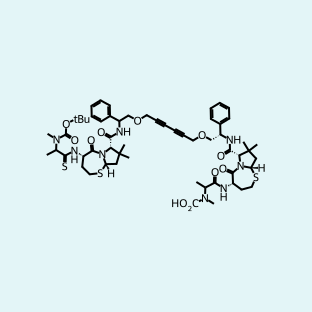 CC(C(=O)N[C@H]1CCS[C@H]2CC(C)(C)[C@@H](C(=O)N[C@H](COCC#CC#CCOCC(NC(=O)[C@H]3N4C(=O)[C@@H](NC(=S)C(C)N(C)C(=O)OC(C)(C)C)CCS[C@H]4CC3(C)C)c3ccccc3)c3ccccc3)N2C1=O)N(C)C(=O)O